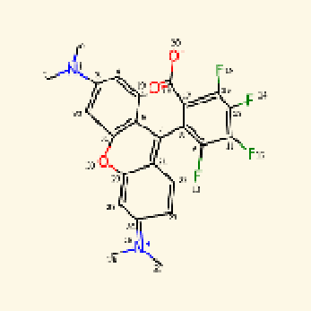 CN(C)c1ccc2c(-c3c(F)c(F)c(F)c(F)c3C(=O)[O-])c3ccc(=[N+](C)C)cc-3oc2c1